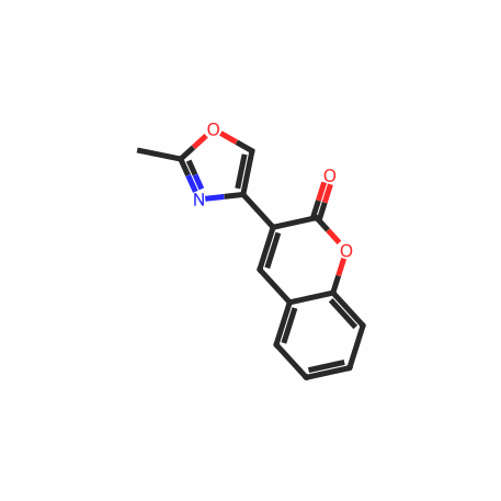 Cc1nc(-c2cc3ccccc3oc2=O)co1